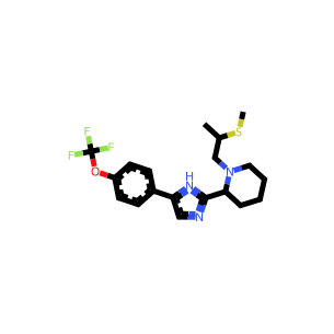 CSC(C)CN1CCCCC1c1ncc(-c2ccc(OC(F)(F)F)cc2)[nH]1